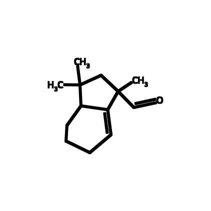 CC1(C=O)CC(C)(C)C2CCCC=C21